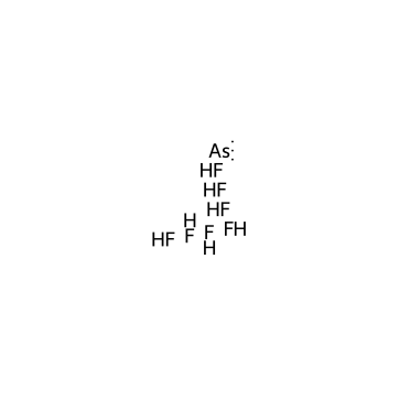 F.F.F.F.F.F.F.[As]